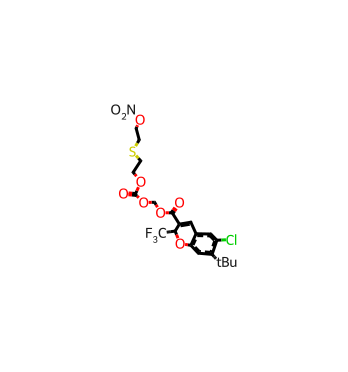 CC(C)(C)c1cc2c(cc1Cl)C=C(C(=O)OCOC(=O)OCCSCCO[N+](=O)[O-])C(C(F)(F)F)O2